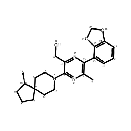 Cc1nc(N2CCC3(CCC[C@H]3C)CC2)c(CO)nc1-c1cccc2c1OCO2